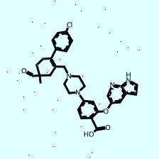 CC1(C=O)CCC(c2ccc(Cl)cc2)=C(CN2CCN(c3ccc(C(=O)O)c(Oc4cnc5[nH]ccc5c4)c3)CC2)C1